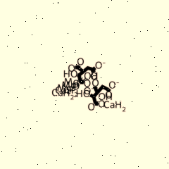 O=C([O-])CC(O)(C(=O)[O-])C(O)C(=O)[O-].O=C([O-])CC(O)(C(=O)[O-])C(O)C(=O)[O-].[CaH2].[CaH2].[CaH2].[Mg+2].[Mg+2].[Mg+2]